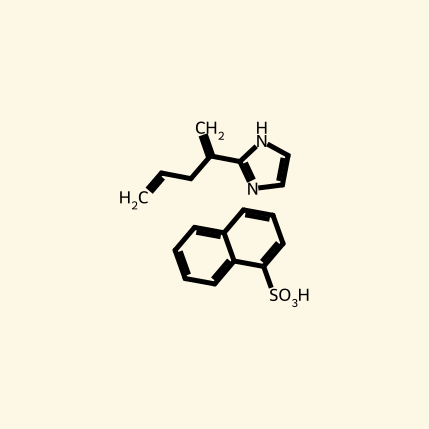 C=CCC(=C)c1ncc[nH]1.O=S(=O)(O)c1cccc2ccccc12